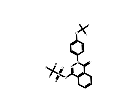 O=c1c2c(c(OS(=O)(=O)C(F)(F)F)nn1-c1ccc(OC(F)(F)F)cc1)CC=CC2